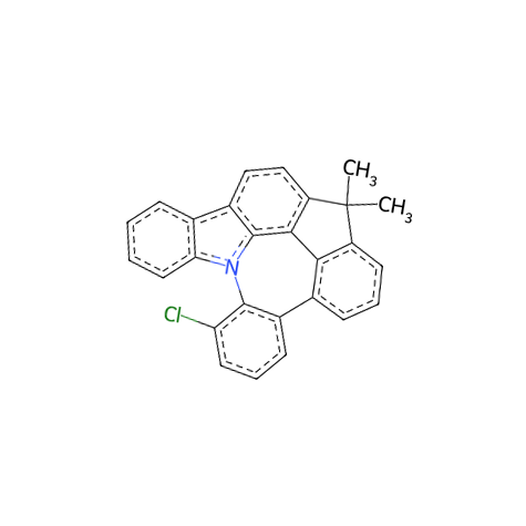 CC1(C)c2cccc3c2-c2c1ccc1c4ccccc4n(c21)-c1c(Cl)cccc1-3